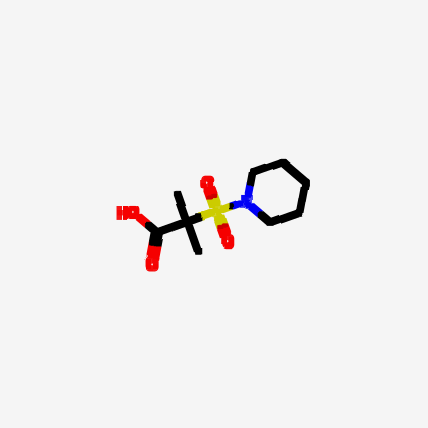 CC(C)(C(=O)O)S(=O)(=O)N1CCCCC1